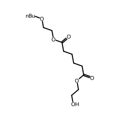 CCCCOCCOC(=O)CCCCC(=O)OCCO